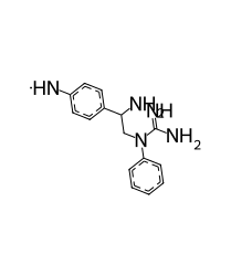 [NH]c1ccc(C(N)CN(C(=N)N)c2ccccc2)cc1